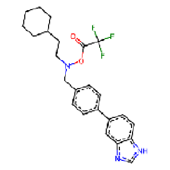 O=C(ON(CCC1CCCCC1)Cc1ccc(-c2ccc3[nH]cnc3c2)cc1)C(F)(F)F